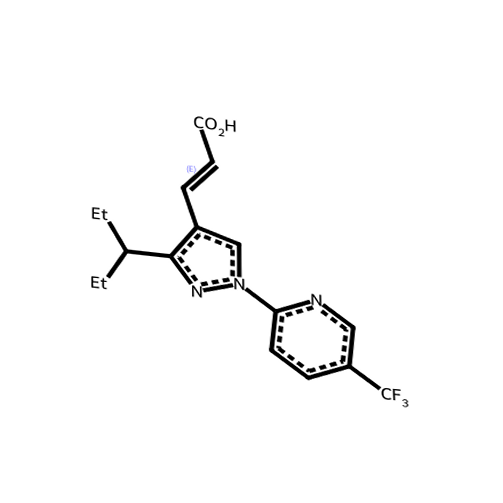 CCC(CC)c1nn(-c2ccc(C(F)(F)F)cn2)cc1/C=C/C(=O)O